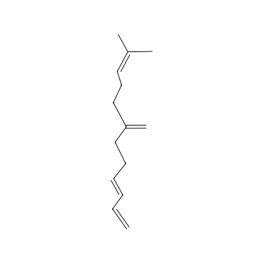 C=CC=CCCC(=C)CCC=C(C)C